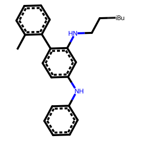 CCC(C)CCNc1cc(Nc2ccccc2)ccc1-c1ccccc1C